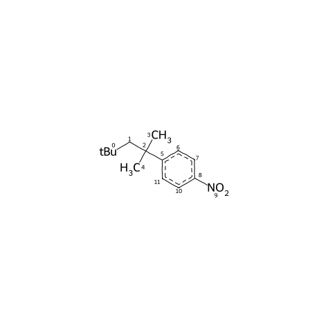 CC(C)(C)CC(C)(C)c1ccc([N+](=O)[O-])cc1